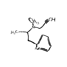 C#CCN(C)C(C)Cc1ccccn1